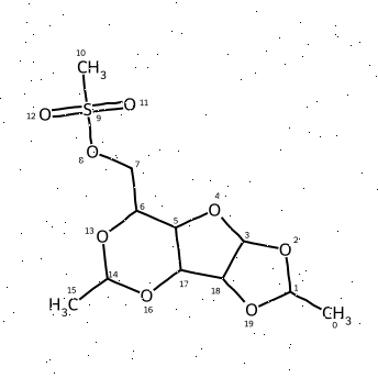 CC1OC2OC3C(COS(C)(=O)=O)OC(C)OC3C2O1